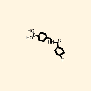 O=C(NCc1ccc(B(O)O)cc1)c1ccc(F)cc1